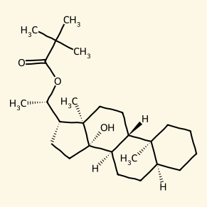 C[C@H](OC(=O)C(C)(C)C)[C@H]1CC[C@]2(O)[C@@H]3CC[C@@H]4CCCC[C@]4(C)[C@H]3CC[C@]12C